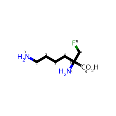 NCCCCC(N)(CF)C(=O)O